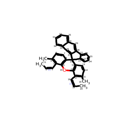 C/C=C\c1c(C)ccc2c1Oc1c(ccc(C)c1/C=C\C)C21c2ccccc2-c2cc3ccccc3cc21